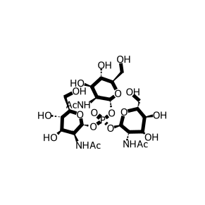 CC(=O)N[C@@H]1[C@@H](OP(=O)(O[C@H]2O[C@H](CO)[C@@H](O)[C@H](O)[C@@H]2NC(C)=O)O[C@H]2O[C@H](CO)[C@@H](O)[C@H](O)[C@@H]2NC(C)=O)O[C@H](CO)[C@@H](O)[C@@H]1O